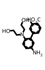 Nc1ccc(N(CCO)CCO)c(-c2cccc(C(=O)O)c2)c1